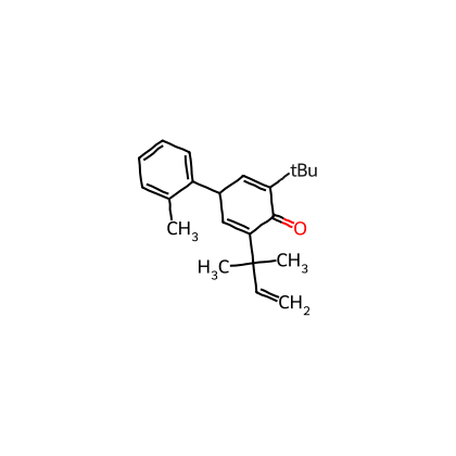 C=CC(C)(C)C1=CC(c2ccccc2C)C=C(C(C)(C)C)C1=O